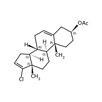 CC(=O)O[C@H]1CC[C@@]2(C)C(=CC[C@@H]3[C@@H]2CC[C@]2(C)C(Cl)=CC[C@@H]32)C1